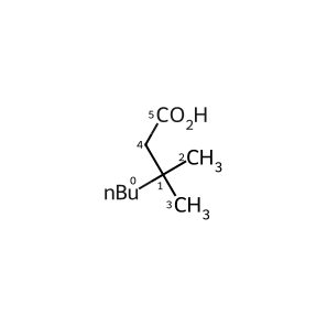 CCCCC(C)(C)CC(=O)O